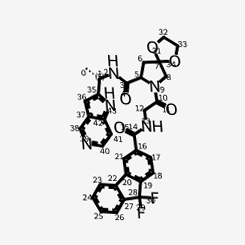 C[C@H](NC(=O)C1CC2(CN1C(=O)CNC(=O)c1ccc3c(c1)-c1ccccc1C3(F)F)OCCO2)c1cc2cnccc2[nH]1